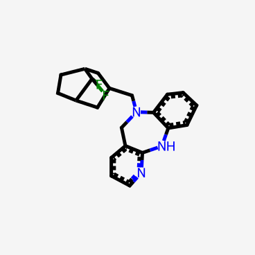 FC1(F)C2CCC1CC(CN1Cc3cccnc3Nc3ccccc31)C2